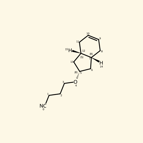 N#CCCCO[C@H]1C[C@H]2CC=CC[C@H]2C1